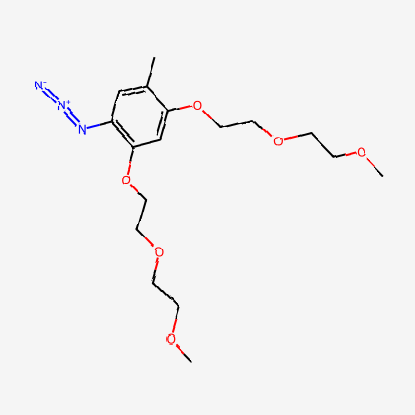 COCCOCCOc1cc(OCCOCCOC)c(N=[N+]=[N-])cc1C